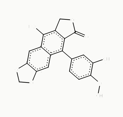 COc1ccc(-c2c3c(c(O)c4cc5c(cc24)OCO5)COC3=O)cc1C